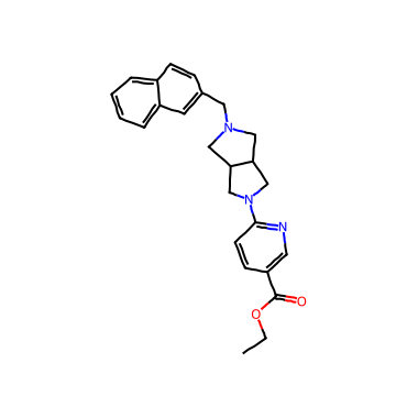 CCOC(=O)c1ccc(N2CC3CN(Cc4ccc5ccccc5c4)CC3C2)nc1